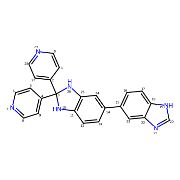 c1cc(C2(c3ccncc3)Nc3ccc(-c4ccc5[nH]cnc5c4)cc3N2)ccn1